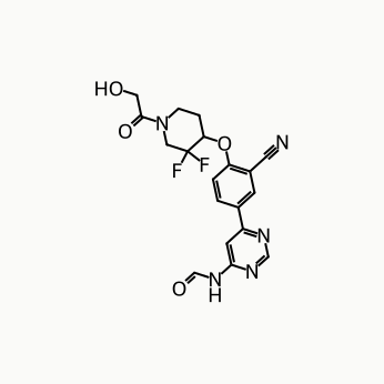 N#Cc1cc(-c2cc(NC=O)ncn2)ccc1OC1CCN(C(=O)CO)CC1(F)F